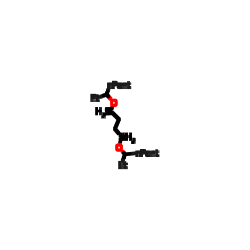 CCCCCC(CC)O[SiH2]CC[SiH2]OC(CC)CCCCC